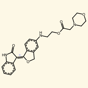 O=C(CN1CCOCC1)OCCNc1ccc2c(c1)CO/C2=C1/C(=O)Nc2ccccc21